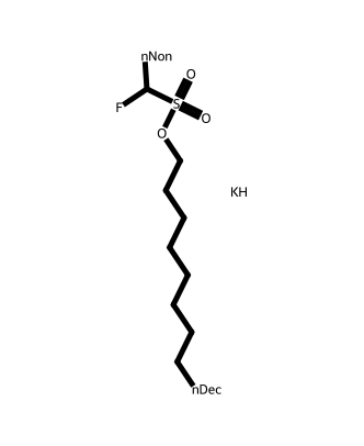 CCCCCCCCCCCCCCCCCCOS(=O)(=O)C(F)CCCCCCCCC.[KH]